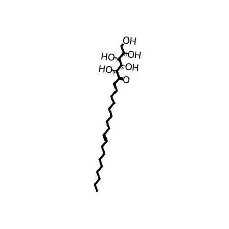 CCCCCCCCC=CCCCCCCCCC(=O)[C@H](O)[C@@H](O)[C@H](O)[C@H](O)CO